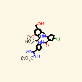 CCOC(=O)NC(=N)c1ccc(NC(=O)c2cc(Cl)ccc2NCc2cc(CO)cc(OC(C)C)c2CCC(=O)O)cc1